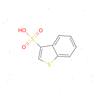 O=S(=O)(O)c1csc2ccccc12